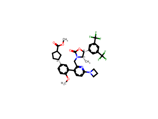 COC(=O)C1CC[C@@H](c2ccc(OC)c(-c3ccc(N4CCC4)nc3CN3C(=O)O[C@H](c4cc(C(F)(F)F)cc(C(F)(F)F)c4)[C@@H]3C)c2)C1